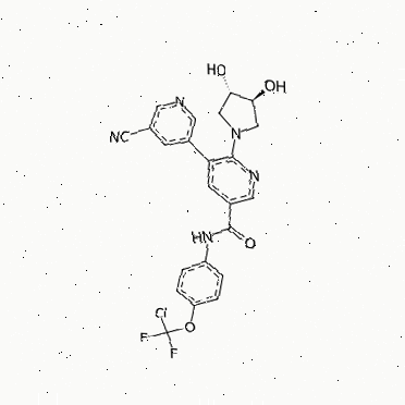 N#Cc1cncc(-c2cc(C(=O)Nc3ccc(OC(F)(F)Cl)cc3)cnc2N2C[C@H](O)[C@@H](O)C2)c1